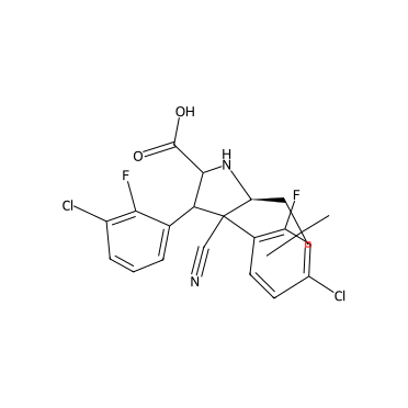 CC(C)(C)C[C@@H]1NC(C(=O)O)C(c2cccc(Cl)c2F)C1(C#N)c1ccc(Cl)cc1F